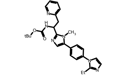 CCc1nccn1-c1ccc(-c2cnc(C(Cc3ccccn3)NC(=O)OC(C)(C)C)n2C)cc1